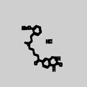 COc1ccccc1CCN(C)CCCCC(=O)c1ccc2c(c1)CNC(=O)N2.Cl